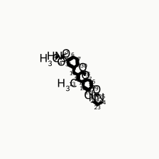 CNS(=O)(=O)c1cccc(Cc2c(C)c3cc(Cl)c(Oc4ncccn4)cc3oc2=O)c1